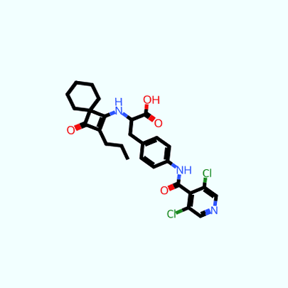 CCCC1=C(NC(Cc2ccc(NC(=O)c3c(Cl)cncc3Cl)cc2)C(=O)O)C2(CCCCC2)C1=O